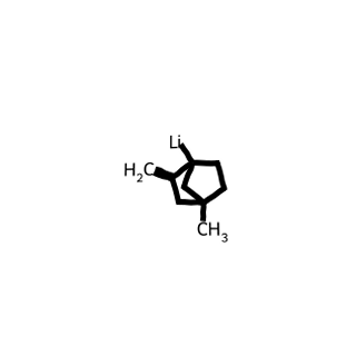 [Li][C]12CCC(C)(CC1=C)C2